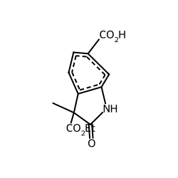 CCOC(=O)C1(C)C(=O)Nc2cc(C(=O)O)ccc21